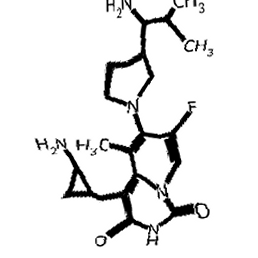 Cc1c(N2CCC(C(N)C(C)C)C2)c(F)cn2c(=O)[nH]c(=O)c(C3CC3N)c12